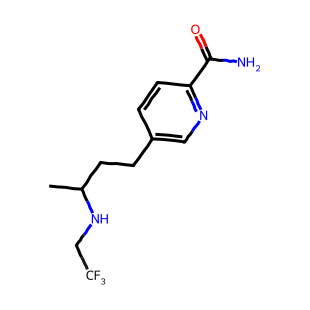 CC(CCc1ccc(C(N)=O)nc1)NCC(F)(F)F